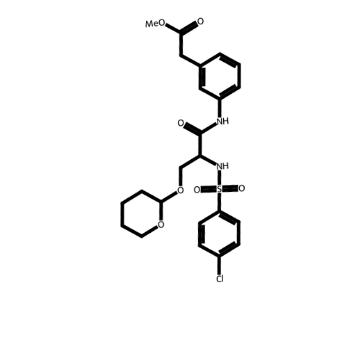 COC(=O)Cc1cccc(NC(=O)C(COC2CCCCO2)NS(=O)(=O)c2ccc(Cl)cc2)c1